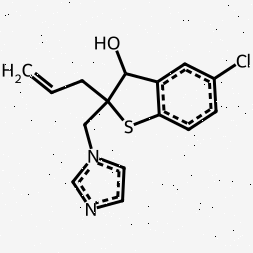 C=CCC1(Cn2ccnc2)Sc2ccc(Cl)cc2C1O